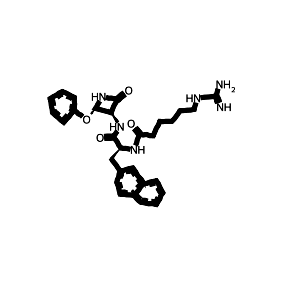 N=C(N)NCCCCCC(=O)N[C@@H](Cc1ccc2ccccc2c1)C(=O)N[C@@H]1C(=O)N[C@H]1Oc1ccccc1